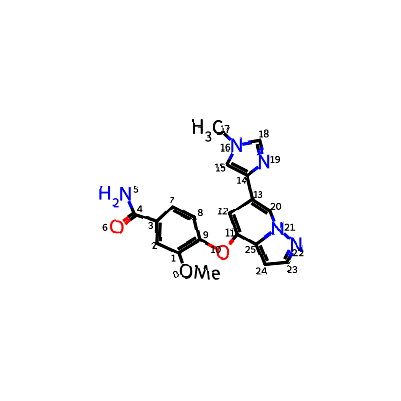 COc1cc(C(N)=O)ccc1Oc1cc(-c2cn(C)cn2)cn2nccc12